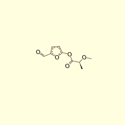 CO[C@@H](C)C(=O)Oc1ccc(C=O)o1